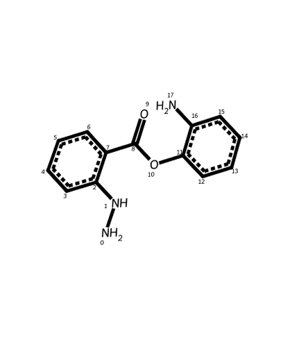 NNc1ccccc1C(=O)Oc1ccccc1N